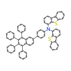 c1ccc(-c2c(-c3ccccc3)c(-c3ccccc3)c3cc(-c4ccc(N(c5cccc6c5sc5ccccc56)c5cccc6c5sc5ccccc56)cc4)ccc3c2-c2ccccc2)cc1